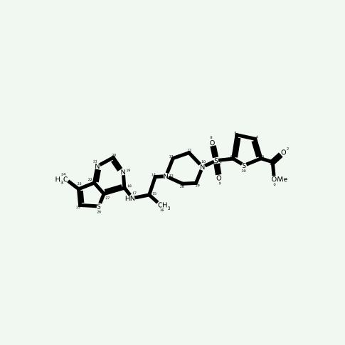 COC(=O)c1ccc(S(=O)(=O)N2CCN(CC(C)Nc3ncnc4c(C)csc34)CC2)s1